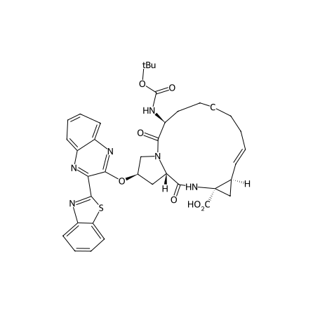 CC(C)(C)OC(=O)N[C@H]1CCCCCC=C[C@H]2C[C@@]2(C(=O)O)NC(=O)[C@@H]2C[C@@H](Oc3nc4ccccc4nc3-c3nc4ccccc4s3)CN2C1=O